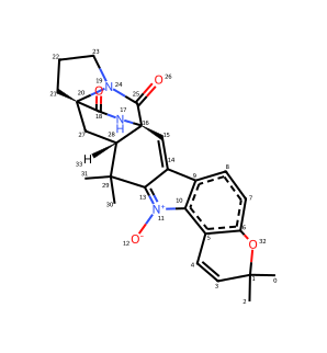 CC1(C)C=Cc2c(ccc3c2[N+]([O-])=C2C3=C[C@@]34NC(=O)[C@]5(CCCN5C3=O)C[C@H]4C2(C)C)O1